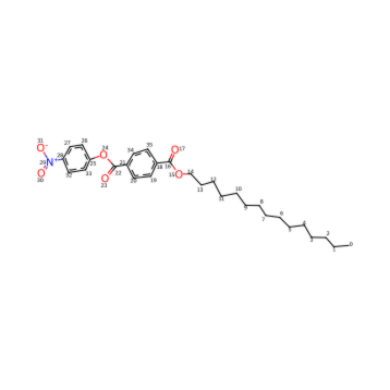 CCCCCCCCCCCCCCCOC(=O)c1ccc(C(=O)Oc2ccc([N+](=O)[O-])cc2)cc1